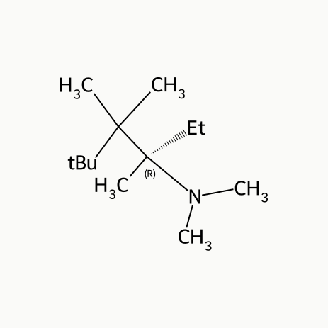 CC[C@@](C)(N(C)C)C(C)(C)C(C)(C)C